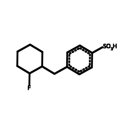 O=S(=O)(O)c1ccc(CC2CCCCC2F)cc1